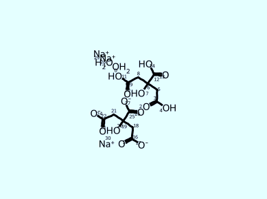 O.O.O=C(O)CC(O)(CC(=O)O)C(=O)O.O=C([O-])CC(O)(CC(=O)[O-])C(=O)[O-].[Na+].[Na+].[Na+]